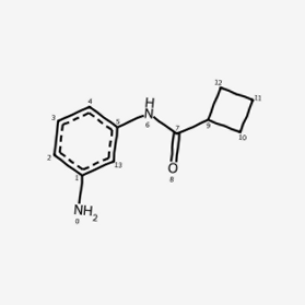 Nc1cccc(NC(=O)C2CCC2)c1